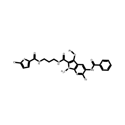 CCc1nc2c(cc1NC(=O)c1ccccc1)c(OC(C)C)c(C(=O)NCCCNC(=O)c1ccc(Cl)s1)n2C